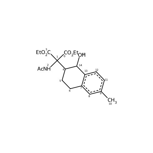 CCOC(=O)C(NC(C)=O)(C(=O)OCC)C1CCc2cc(C)ccc2C1O